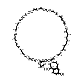 Oc1ccc2c(c1)CCN(C1CCCCCCCCCCCCCCCCCCCCCCCCCCCCCCCCCCCCCCCCCCCCCCCCC3(CC1)OCCO3)CC2O